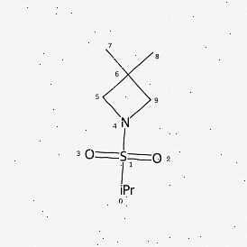 CC(C)S(=O)(=O)N1CC(C)(C)C1